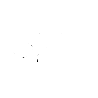 COC(=O)[C@@H]1[C@H]2CN(S(=O)(=O)c3ccc(C)cc3)[C@H](C)[C@H]21